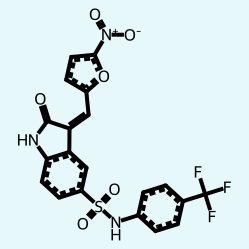 O=C1Nc2ccc(S(=O)(=O)Nc3ccc(C(F)(F)F)cc3)cc2C1=Cc1ccc([N+](=O)[O-])o1